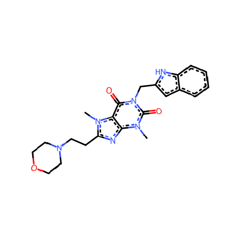 Cn1c(CCN2CCOCC2)nc2c1c(=O)n(Cc1cc3ccccc3[nH]1)c(=O)n2C